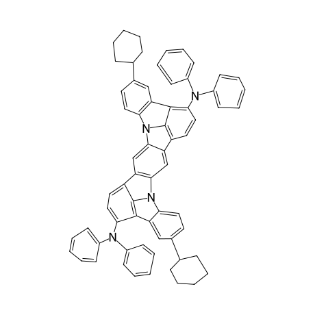 c1ccc(N(c2ccccc2)c2ccc3c4cc5c(cc4n4c6ccc(C7CCCCC7)cc6c2c34)c2ccc(N(c3ccccc3)c3ccccc3)c3c4cc(C6CCCCC6)ccc4n5c23)cc1